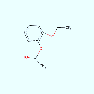 CC(O)Oc1ccccc1OCC(F)(F)F